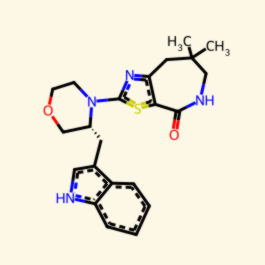 CC1(C)CNC(=O)c2sc(N3CCOC[C@H]3Cc3c[nH]c4ccccc34)nc2C1